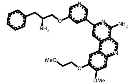 COCCOc1cc2c(cc1OC)ncc1c(N)nc(-c3cncc(OC[C@@H](N)Cc4ccccc4)c3)cc12